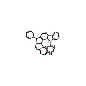 c1ccc(C2c3ccc4ccccc4c3-c3c2ccc2c4ccccc4n(-c4ncncn4)c32)cc1